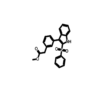 COC(=O)Cc1cccc(-c2c(S(=O)(=O)c3ccccc3)[nH]c3ccccc23)c1